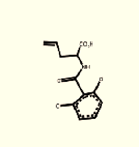 C=CCC(NC(=O)c1c(Cl)cccc1Cl)C(=O)O